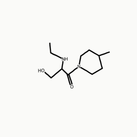 CCNC(CO)C(=O)N1CCC(C)CC1